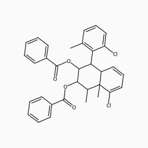 Cc1cccc(Cl)c1C1C(OC(=O)c2ccccc2)C(OC(=O)c2ccccc2)C(C)C2(C)C(Cl)=CC=CC12